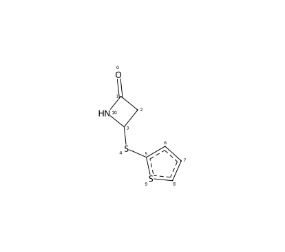 O=C1CC(Sc2cccs2)N1